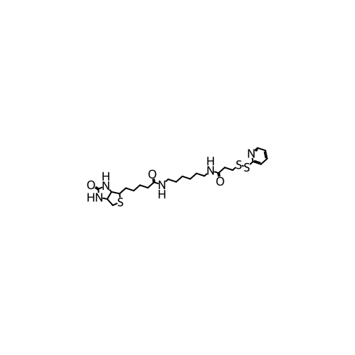 O=C(CCCCC1SCC2NC(=O)NC21)NCCCCCCNC(=O)CCSSc1ccccn1